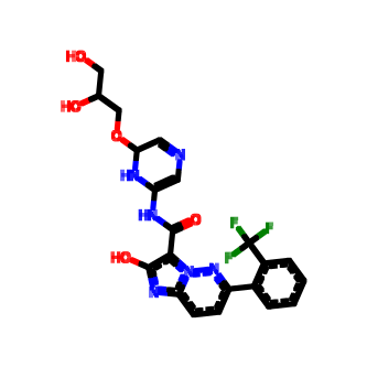 O=C(NC1=CN=CC(OCC(O)CO)N1)c1c(O)nc2ccc(-c3ccccc3C(F)(F)F)nn12